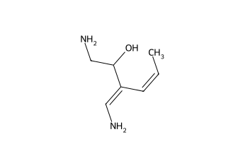 C/C=C\C(=C/N)C(O)CN